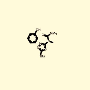 CNC(=O)N(C)c1nnc(C(C)(C)C)s1.Oc1ccccc1